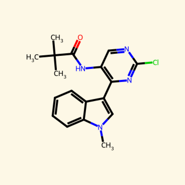 Cn1cc(-c2nc(Cl)ncc2NC(=O)C(C)(C)C)c2ccccc21